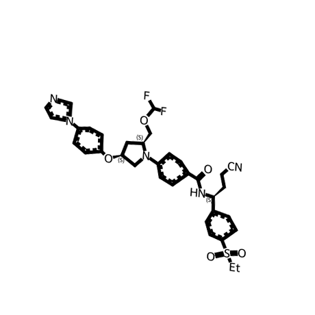 CCS(=O)(=O)c1ccc([C@H](CCC#N)NC(=O)c2ccc(N3C[C@@H](Oc4ccc(-n5ccnc5)cc4)C[C@H]3COC(F)F)cc2)cc1